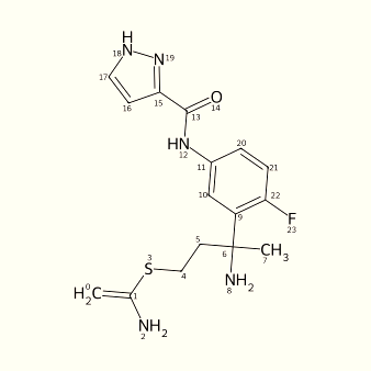 C=C(N)SCCC(C)(N)c1cc(NC(=O)c2cc[nH]n2)ccc1F